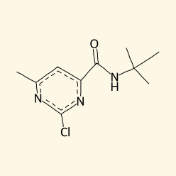 Cc1cc(C(=O)NC(C)(C)C)nc(Cl)n1